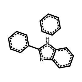 c1ccc(-c2nc3ccccc3[nH]2)cc1.c1ccccc1